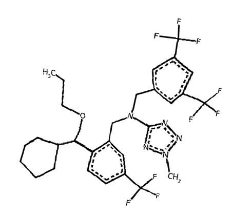 CCCOC(c1ccc(C(F)(F)F)cc1CN(Cc1cc(C(F)(F)F)cc(C(F)(F)F)c1)c1nnn(C)n1)C1CCCCC1